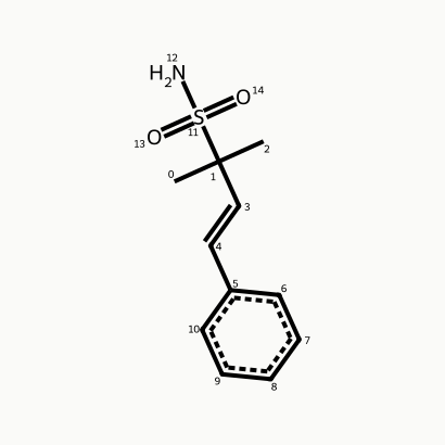 CC(C)(C=Cc1ccccc1)S(N)(=O)=O